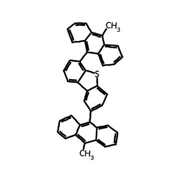 Cc1c2ccccc2c(-c2ccc3sc4c(-c5c6ccccc6c(C)c6ccccc56)cccc4c3c2)c2ccccc12